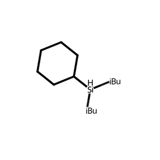 CCC(C)[SiH](C(C)CC)C1CCCCC1